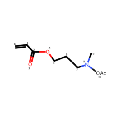 C=CC(=O)OCCCN(C)OC(C)=O